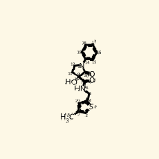 Cc1csc(CNC(=O)[C@@]2(O)CCN(c3ccccc3)C2=O)c1